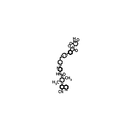 C[C@@H]1CN(c2ccc(C#N)c3ncccc23)[C@@H](C)CN1C(=O)Nc1ccc(N2CCC(CN3CCN(c4ccc5c(c4)C(=O)N(C4CCC(=O)NC4=O)C5=O)CC3)CC2)nc1